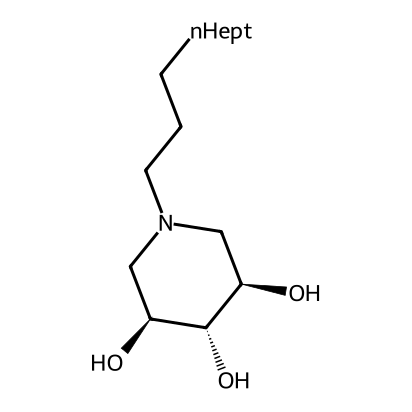 CCCCCCCCCCN1C[C@@H](O)[C@H](O)[C@@H](O)C1